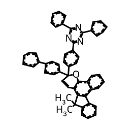 CC1(C)c2ccccc2-c2c1c1c(c3ccccc23)OC(c2ccc(-c3ccccc3)cc2)(c2ccc(-c3nc(-c4ccccc4)nc(-c4ccccc4)n3)cc2)C=C1